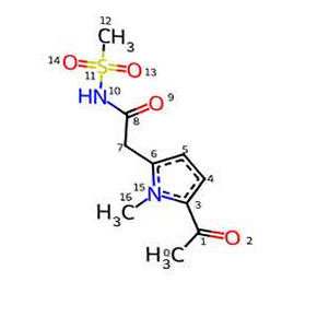 CC(=O)c1ccc(CC(=O)NS(C)(=O)=O)n1C